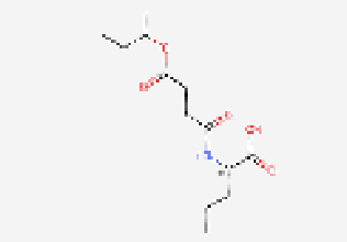 CCC[C@H](NC(=O)CCC(=O)OC(C)CC)C(=O)O